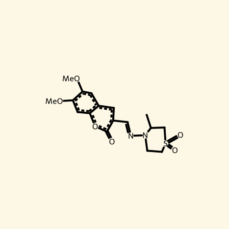 COc1cc2cc(C=NN3CCS(=O)(=O)CC3C)c(=O)oc2cc1OC